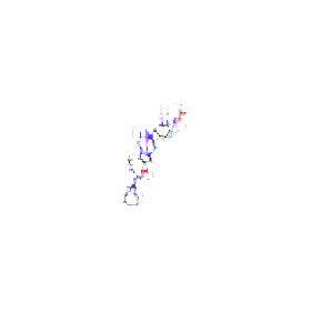 Cc1c(/C=C2\C(=O)Nc3cc(NC(=O)C(C)O)c(F)cc32)[nH]c2c1C(=O)N(CCN1CCCCC1)CCC2